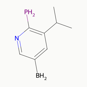 Bc1cnc(P)c(C(C)C)c1